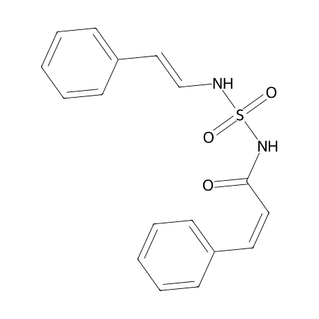 O=C(/C=C\c1ccccc1)NS(=O)(=O)N/C=C/c1ccccc1